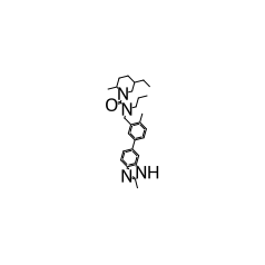 CCCN(Cc1cc(-c2ccc3nc(C)[nH]c3c2)ccc1C)C(=O)N1CC(CC)CCC1C